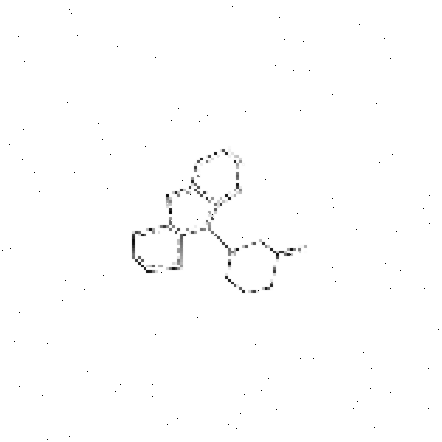 O=C1CCCN(c2c3ccccc3cc3ccccc23)C1